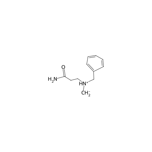 [CH2-][NH+](CCC(N)=O)Cc1ccccc1